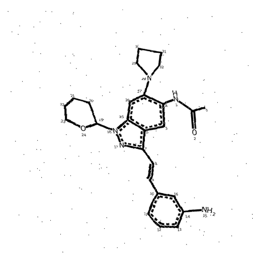 CC(=O)Nc1cc2c(C=Cc3cccc(N)c3)nn(C3CCCCO3)c2cc1N1CCCC1